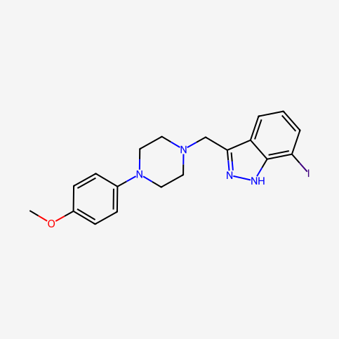 COc1ccc(N2CCN(Cc3n[nH]c4c(I)cccc34)CC2)cc1